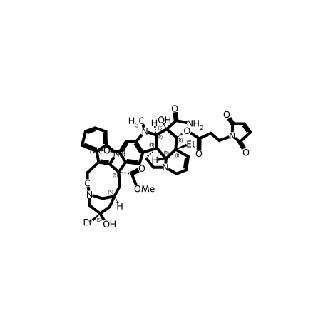 CC[C@]1(O)C[C@H]2CN(CCc3c([nH]c4ccccc34)[C@@](C(=O)OC)(c3cc4c(cc3OC)N(C)[C@H]3[C@@](O)(C(N)=O)[C@H](OC(=O)CCN5C(=O)C=CC5=O)[C@]5(CC)C=CCN6CC[C@]43[C@@H]65)C2)C1